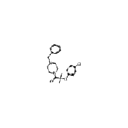 CC(C)(Oc1ccc(Cl)cc1)C(=O)N1CCN(Cc2ccccc2)CC1